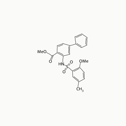 COC(=O)c1ccc(-c2ccccc2)cc1NS(=O)(=O)c1cc(C)ccc1OC